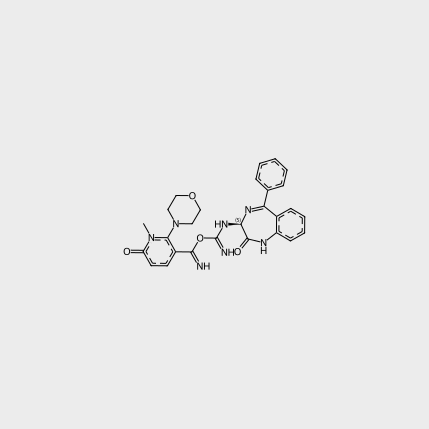 Cn1c(N2CCOCC2)c(C(=N)OC(=N)N[C@H]2N=C(c3ccccc3)c3ccccc3NC2=O)ccc1=O